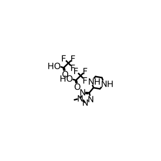 Cn1nnc(C2CNCCN2)n1.O=C(O)C(F)(F)F.O=C(O)C(F)(F)F